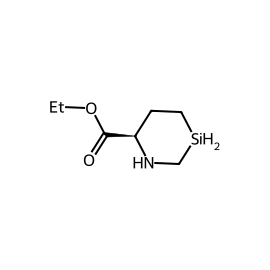 CCOC(=O)[C@H]1CC[SiH2]CN1